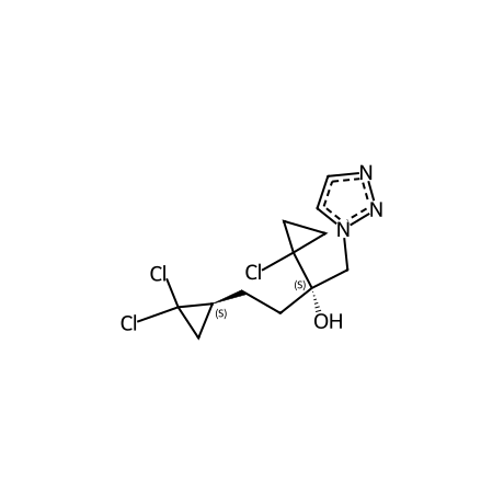 O[C@@](CC[C@H]1CC1(Cl)Cl)(Cn1ccnn1)C1(Cl)CC1